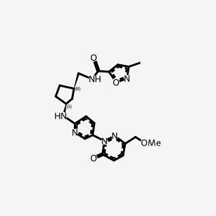 COCc1ccc(=O)n(-c2ccc(N[C@H]3CC[C@@H](CNC(=O)c4cc(C)no4)C3)nc2)n1